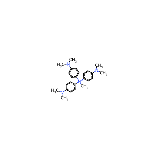 CN(C)c1ccc([N+](C)(c2ccc(N(C)C)cc2)c2ccc(N(C)C)cc2)cc1